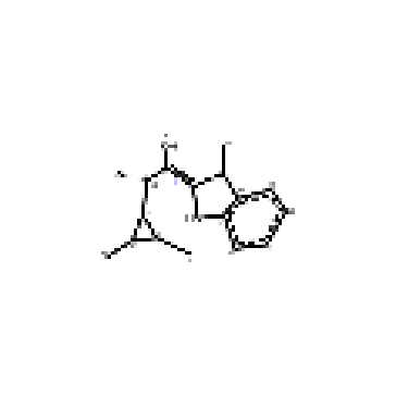 CC1/C(=C(\O)[C@@H](C)C2C(C)C2C)Nc2ccccc21